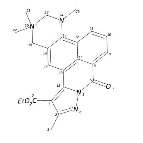 CCOC(=O)c1c(C)nn2c(=O)c3cccc4c5c(cc(c43)c12)C[N+](C)(C)CN5C